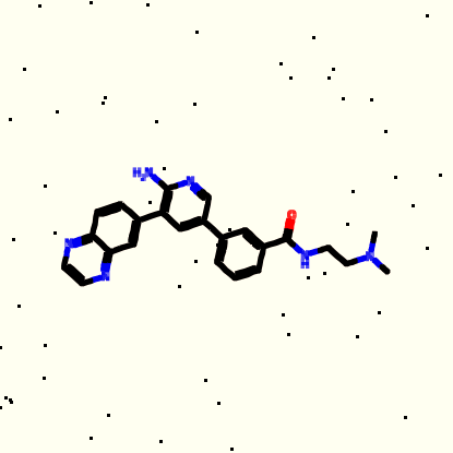 CN(C)CCNC(=O)c1cccc(-c2cnc(N)c(-c3ccc4nccnc4c3)c2)c1